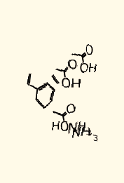 C=C.C=Cc1ccccc1.CC(=O)O.CC(=O)O.CC(=O)O.N.N